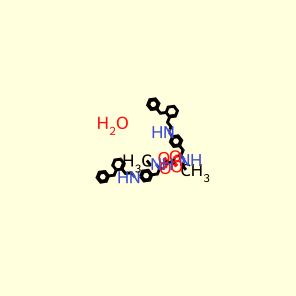 CCNC(Cc1ccc(NCCC2=CCCCC2Cc2ccccc2)cc1)OC(=O)C(=O)OC(Cc1ccc(NCCC2=CCCCC2Cc2ccccc2)cc1)NCC.O